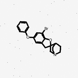 Brc1cc(Oc2ccccc2)cc2c1OC1(C2)CN2CCC1CC2